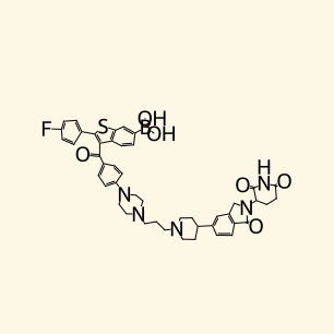 O=C1CCC(N2Cc3cc(C4CCN(CCCN5CCN(c6ccc(C(=O)c7c(-c8ccc(F)cc8)sc8cc(B(O)O)ccc78)cc6)CC5)CC4)ccc3C2=O)C(=O)N1